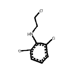 ClCCNc1c(Cl)cccc1Cl